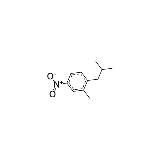 Cc1cc([N+](=O)[O-])ccc1CC(C)C